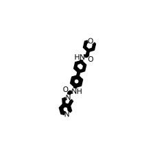 O=C(NC1CC=C(c2ccc(NC(=O)N3Cc4ccncc4C3)cc2)CC1)C1CCOCC1